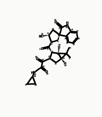 CC1(C)[C@@H]2[C@@H](C(=O)N3C[C@]4(C[C@H]3C#N)C(=O)Nc3ccccc34)N(C(=O)C(=O)NC3CC3)C[C@@H]21